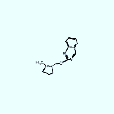 CN1CCC[C@H]1COc1ncc2ncccc2n1